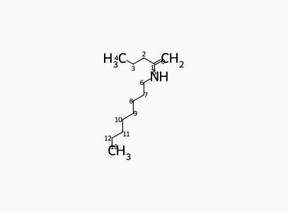 C=C(CCC)NCCCCCCCC